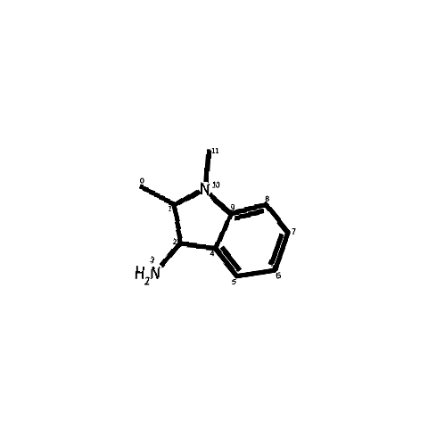 CC1C(N)c2ccccc2N1C